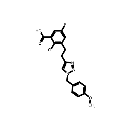 COc1ccc(Cn2cc(CCc3cc(F)cc(C(=O)O)c3Cl)nn2)cc1